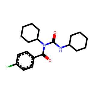 O=C(NC1CCCCC1)N(C(=O)c1ccc(F)cc1)C1CCCCC1